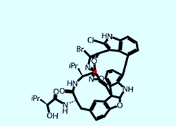 CC(C)[C@H](O)C(=O)N[C@H]1Cc2ccc3c(c2)C24c5cccc(c5NC2O3)-c2cccc3[nH]c(Cl)c(c23)-c2oc(nc2Br)-c2nc(oc24)[C@H](C(C)C)NC1=O